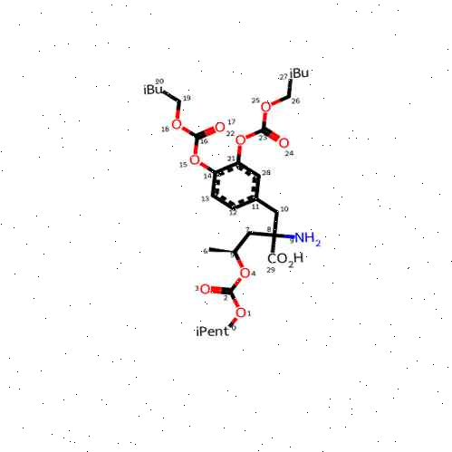 CCCC(C)OC(=O)O[C@@H](C)CC(N)(Cc1ccc(OC(=O)OCC(C)CC)c(OC(=O)OCC(C)CC)c1)C(=O)O